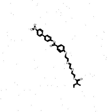 CCC(C)C(=O)OCCOCCOCCOc1ccc(C(=O)Oc2ccc(-c3ccc([N+](=O)[O-])cc3)cc2)cc1